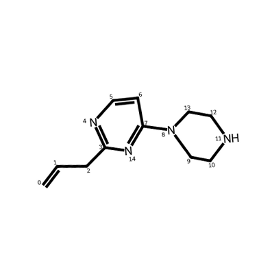 C=CCc1nccc(N2CCNCC2)n1